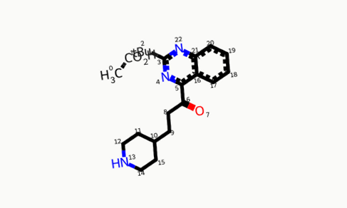 CC(=O)O.CC(C)(C)c1nc(C(=O)CCC2CCNCC2)c2ccccc2n1